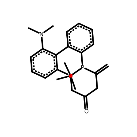 C=C1CC(=O)CC(C)(C)P1c1ccccc1-c1c(OC)cccc1N(C)C